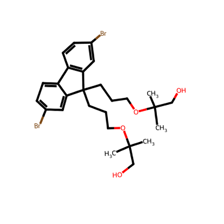 CC(C)(CO)OCCCC1(CCCOC(C)(C)CO)c2cc(Br)ccc2-c2ccc(Br)cc21